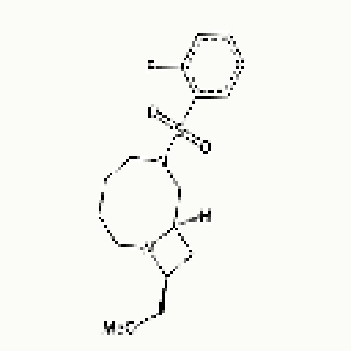 COC[C@@H]1C[C@@H]2CN(S(=O)(=O)c3ccccc3F)CCCCN12